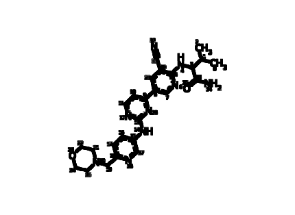 CC(C)C(Nc1ncc(-c2ccnc(Nc3ccc(CN4CCOCC4)nc3)n2)cc1C#N)C(N)=O